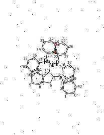 c1ccc(CC2Cc3ccccc3C2N(P(c2ccccc2)c2ccccc2)P(c2ccccc2)c2ccccc2)cc1